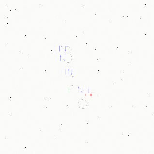 CCOc1ccccc1CN[C@H]1CC[C@H](NCc2cnc3[nH]ccc3c2)C[C@H]1F